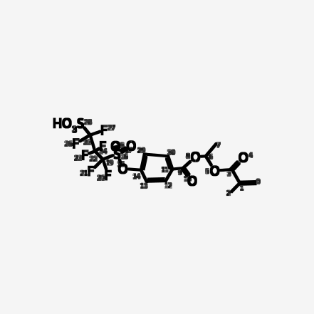 C=C(C)C(=O)OC(C)OC(=O)c1ccc(OS(=O)(=O)C(F)(F)C(F)(F)C(F)(F)S(=O)(=O)O)cc1